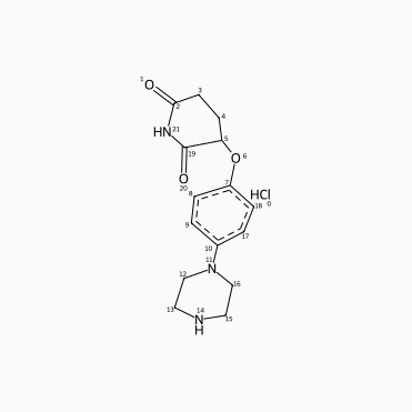 Cl.O=C1CCC(Oc2ccc(N3CCNCC3)cc2)C(=O)N1